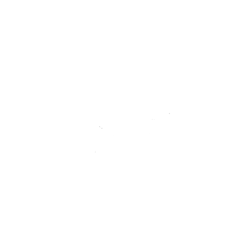 C=CCc1cccc(C(=O)O)c1C(C=C)c1c[nH]cn1